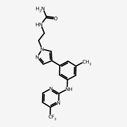 Cc1cc(Nc2nccc(C(F)(F)F)n2)cc(-c2cnn(CCNC(N)=O)c2)c1